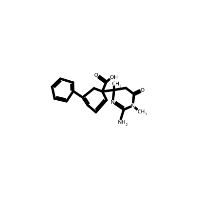 CN1C(=O)CC(C)(C2(C(=O)O)C=CC=C(c3ccccc3)C2)N=C1N